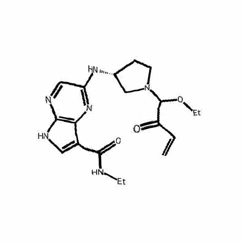 C=CC(=O)C(OCC)N1CC[C@@H](Nc2cnc3[nH]cc(C(=O)NCC)c3n2)C1